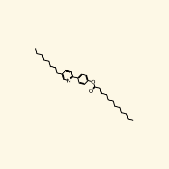 CCCCCCCCCCCC(=O)Oc1ccc(-c2ccc(CCCCCCCC)cn2)cc1